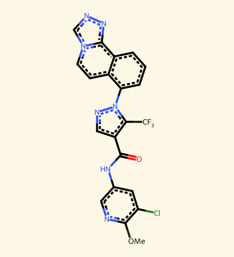 COc1ncc(NC(=O)c2cnn(-c3cccc4c3ccn3cnnc43)c2C(F)(F)F)cc1Cl